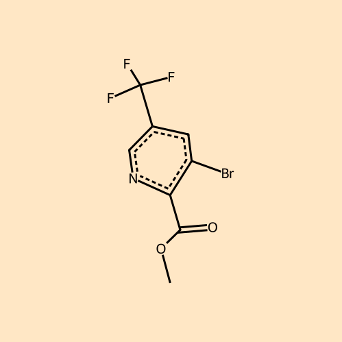 COC(=O)c1ncc(C(F)(F)F)cc1Br